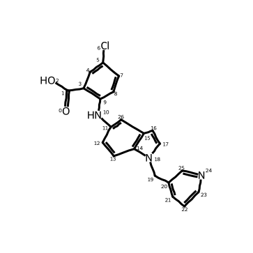 O=C(O)c1cc(Cl)ccc1Nc1ccc2c(ccn2Cc2cccnc2)c1